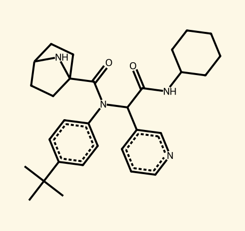 CC(C)(C)c1ccc(N(C(=O)C23CCC(CC2)N3)C(C(=O)NC2CCCCC2)c2cccnc2)cc1